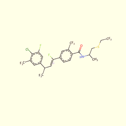 CC(CSCC(F)(F)F)NC(=O)c1ccc(/C(F)=C/C(c2cc(F)c(Cl)c(C(F)(F)F)c2)C(F)(F)F)cc1C(F)(F)F